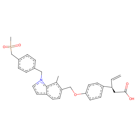 C=C[C@@H](CC(=O)O)c1ccc(OCc2ccc3ccn(Cc4ccc(CS(C)(=O)=O)cc4)c3c2C)cc1